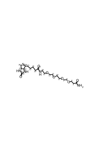 NC(=O)CCOCCOCCOCCOCCNC(=O)CCCCC1SCC2NC(=O)NC21